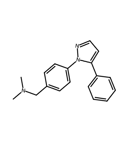 CN(C)Cc1ccc(-n2nccc2-c2ccccc2)cc1